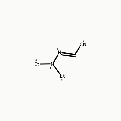 CCN(CC)N=CC#N